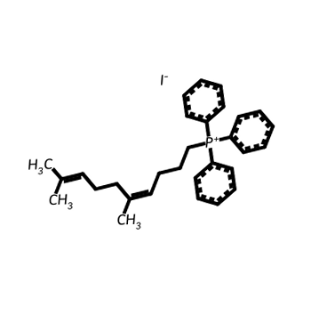 CC(C)=CCCC(C)=CCCC[P+](c1ccccc1)(c1ccccc1)c1ccccc1.[I-]